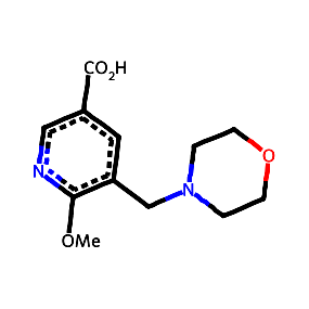 COc1ncc(C(=O)O)cc1CN1CCOCC1